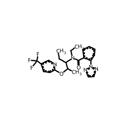 CCC(C(C)Oc1ccc(C(F)(F)F)cn1)N(CC)C(=O)c1ccccc1-n1nccn1